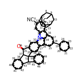 N#Cc1cc2c(c3c1C1CC4CC(C1)CC3C4)c1cc(-c3ccccc3)cc3c4cc5c(cc4n2c31)C(=O)C1c2ccccc2C2c3ccccc3C512